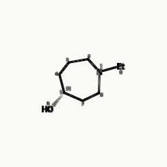 CCN1CCC[C@@H](O)CC1